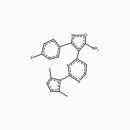 Cc1ccc(C)n1-c1nccc(-c2c(-c3ccc(F)cc3)noc2N)n1